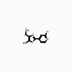 CC(C)c1sc(-c2ccnc(F)c2)nc1CO